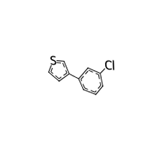 Clc1cccc(-c2ccsc2)c1